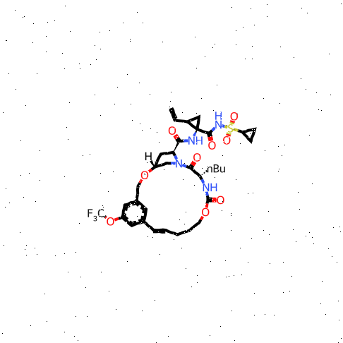 C=CC1C[C@]1(NC(=O)[C@@H]1C[C@@H]2CN1C(=O)[C@H](CCCC)NC(=O)OCCC/C=C/c1cc(cc(OC(F)(F)F)c1)CO2)C(=O)NS(=O)(=O)C1CC1